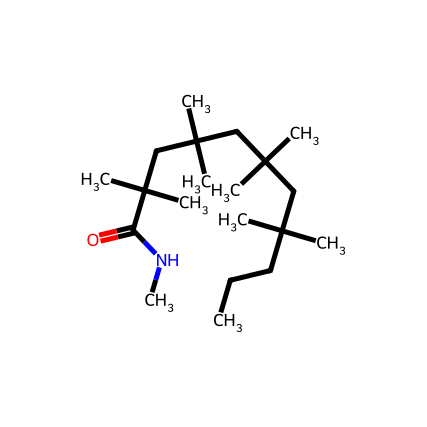 CCCC(C)(C)CC(C)(C)CC(C)(C)CC(C)(C)C(=O)NC